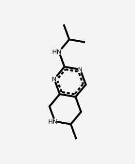 CC(C)Nc1ncc2c(n1)CNC(C)C2